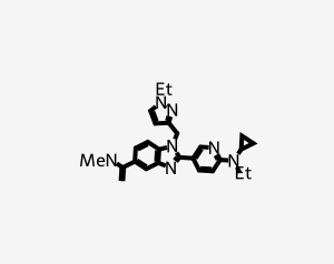 C=C(NC)c1ccc2c(c1)nc(-c1ccc(N(CC)C3CC3)nc1)n2Cc1ccn(CC)n1